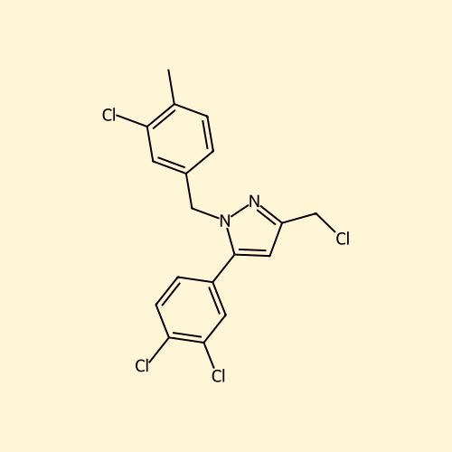 Cc1ccc(Cn2nc(CCl)cc2-c2ccc(Cl)c(Cl)c2)cc1Cl